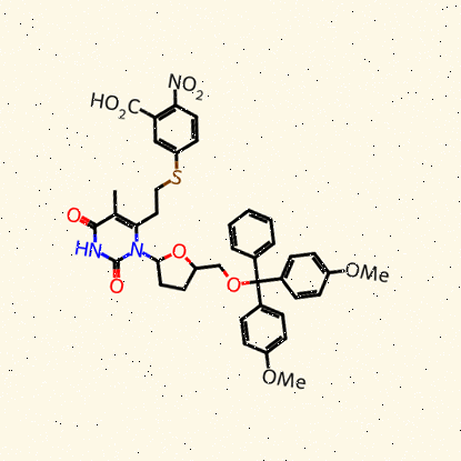 COc1ccc(C(OCC2CCC(n3c(CCSc4ccc([N+](=O)[O-])c(C(=O)O)c4)c(C)c(=O)[nH]c3=O)O2)(c2ccccc2)c2ccc(OC)cc2)cc1